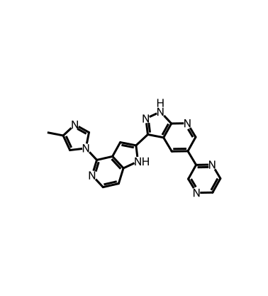 Cc1cn(-c2nccc3[nH]c(-c4n[nH]c5ncc(-c6cnccn6)cc45)cc23)cn1